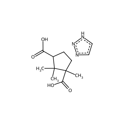 CC1(C(=O)O)CCC(C(=O)O)C1(C)C.c1c[nH]nn1